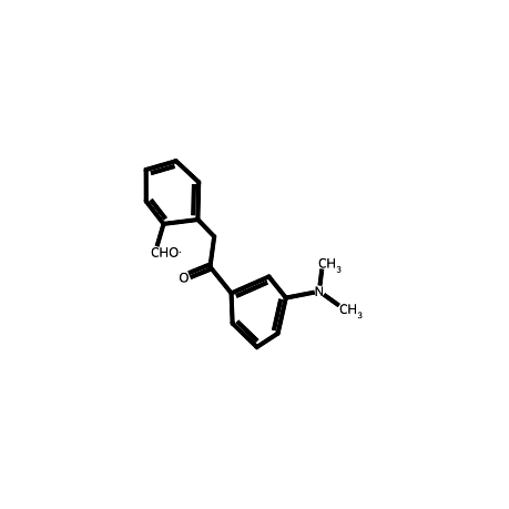 CN(C)c1cccc(C(=O)Cc2ccccc2[C]=O)c1